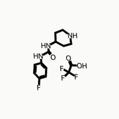 O=C(Nc1ccc(F)cc1)NC1CCNCC1.O=C(O)C(F)(F)F